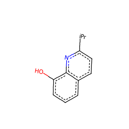 CC(C)c1ccc2cccc(O)c2n1